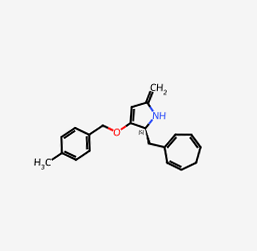 C=C1C=C(OCc2ccc(C)cc2)[C@H](CC2=CC=CCC=C2)N1